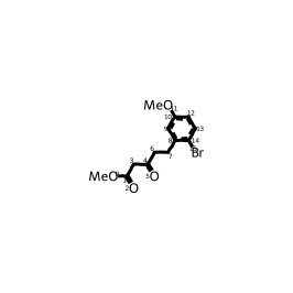 COC(=O)CC(=O)CCc1cc(OC)ccc1Br